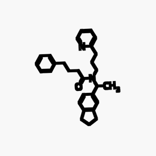 CC(c1ccc2c(c1)CCC2)N(CCCc1ccccn1)C(=O)CCCc1ccccc1